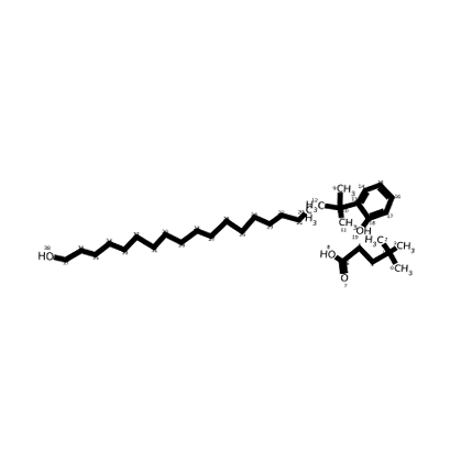 CC(C)(C)CCC(=O)O.CC(C)(C)c1ccccc1O.CCCCCCCCCCCCCCCCCCO